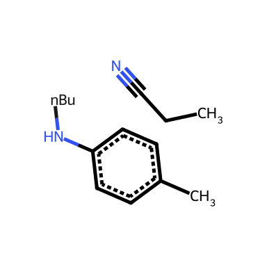 CCC#N.CCCCNc1ccc(C)cc1